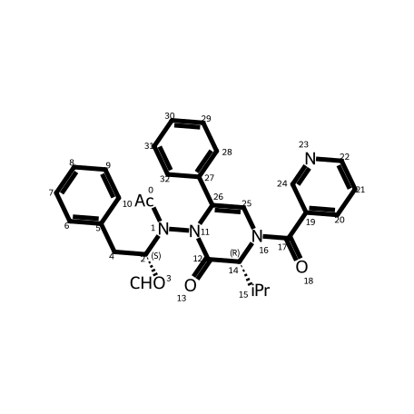 CC(=O)N([C@H](C=O)Cc1ccccc1)N1C(=O)[C@@H](C(C)C)N(C(=O)c2cccnc2)C=C1c1ccccc1